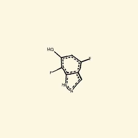 Oc1cc(F)c2cn[nH]c2c1F